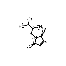 CCC(O)C(C)CN1C(=O)C=CC1=O